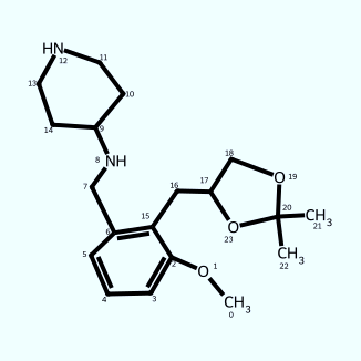 COc1cccc(CNC2CCNCC2)c1CC1COC(C)(C)O1